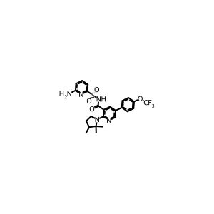 CC1CCN(c2ncc(-c3ccc(OC(F)(F)F)cc3)cc2C(=O)NS(=O)(=O)c2cccc(N)n2)C1(C)C